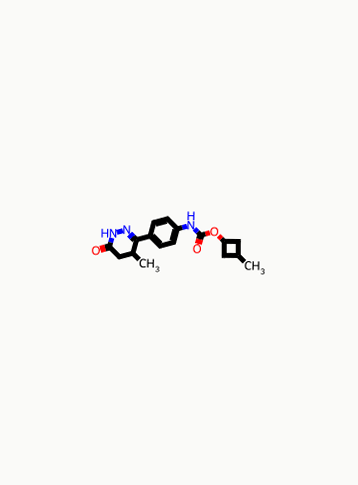 CC1CC(OC(=O)Nc2ccc(C3=NNC(=O)CC3C)cc2)C1